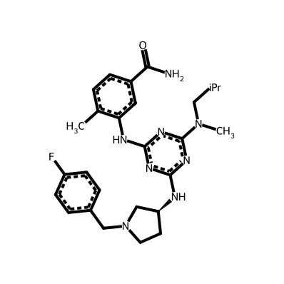 Cc1ccc(C(N)=O)cc1Nc1nc(N[C@H]2CCN(Cc3ccc(F)cc3)C2)nc(N(C)CC(C)C)n1